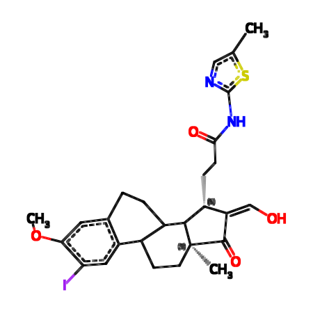 COc1cc2c(cc1I)C1CC[C@]3(C)C(=O)C(=CO)[C@@H](CCC(=O)Nc4ncc(C)s4)C3C1CC2